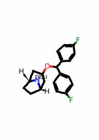 CCCCN1[C@@H]2CC[C@H]1CC(OC(c1ccc(F)cc1)c1ccc(F)cc1)C2